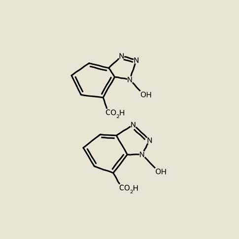 O=C(O)c1cccc2nnn(O)c12.O=C(O)c1cccc2nnn(O)c12